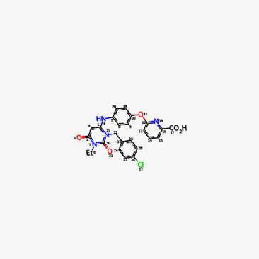 CCn1c(=O)cc(Nc2ccc(Oc3cccc(C(=O)O)n3)cc2)n(Cc2ccc(Cl)cc2)c1=O